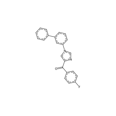 O=C(c1ccc(F)cc1)c1cn(-c2cccc(-c3ccccc3)c2)cn1